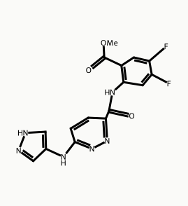 COC(=O)c1cc(F)c(F)cc1NC(=O)c1ccc(Nc2cn[nH]c2)nn1